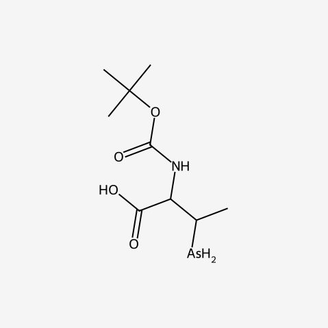 CC([AsH2])C(NC(=O)OC(C)(C)C)C(=O)O